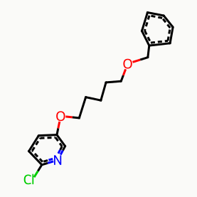 Clc1ccc(OCCCCCOCc2ccccc2)cn1